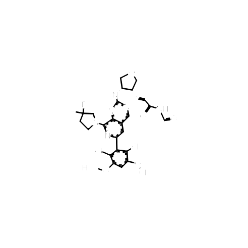 COc1cc(OC)c(Cl)c(-c2cc3cnc(N[C@@H]4COC[C@@H]4C=CC(=O)NC=O)nc3c(N3CCC(F)(F)C3)n2)c1Cl